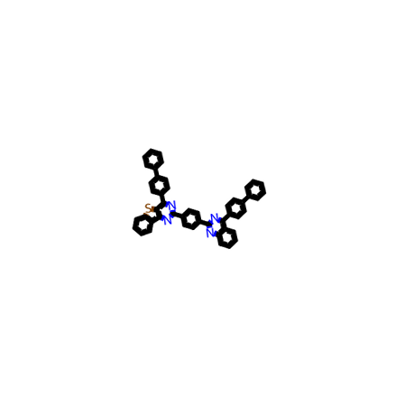 c1ccc(-c2ccc(-c3nc(-c4ccc(-c5nc(-c6ccc(-c7ccccc7)cc6)c6sc7ccccc7c6n5)cc4)nc4ccccc34)cc2)cc1